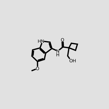 COc1ccc2[nH]cc(NC(=O)C3(CO)CCC3)c2c1